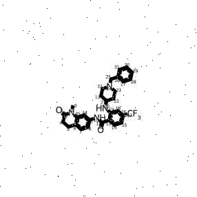 CN1C(=O)CCc2ccc(NC(=O)c3ccc(C(F)(F)F)cc3NC3CCN(Cc4ccccc4)CC3)cc21